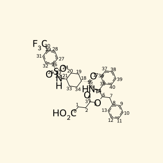 O=C(O)CCC(=O)OC(Cc1ccccc1)[C@@H](NC(=O)[C@H]1CC[C@H](NS(=O)(=O)c2ccc(C(F)(F)F)cc2)CC1)c1ccccc1